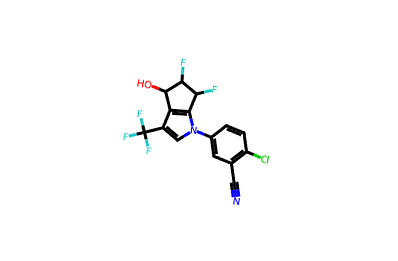 N#Cc1cc(-n2cc(C(F)(F)F)c3c2C(F)C(F)C3O)ccc1Cl